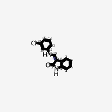 O=C1Nc2ccccc2/C1=C/Nc1cccc(Cl)c1